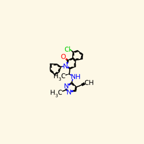 C#Cc1cnc(C)nc1N[C@@H](C)c1cc2cccc(Cl)c2c(=O)n1-c1ccccc1